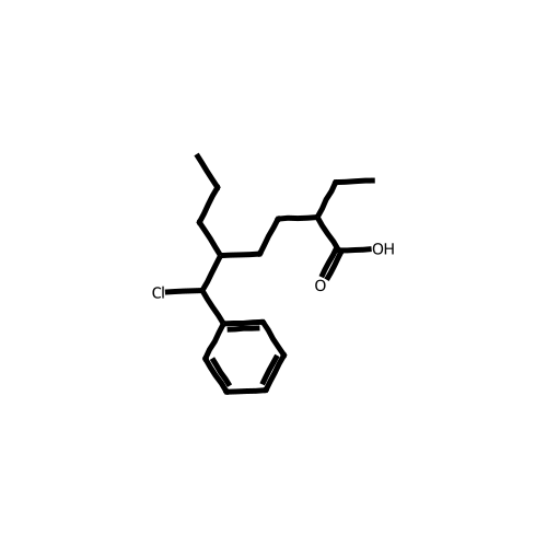 CCCC(CCC(CC)C(=O)O)C(Cl)c1ccccc1